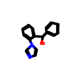 OC(c1ccccc1)c1ccccc1-n1ccnc1